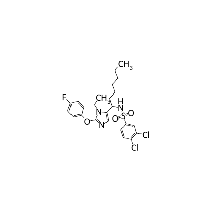 CCCCCCC(NS(=O)(=O)c1ccc(Cl)c(Cl)c1)c1cnc(Oc2ccc(F)cc2)n1CC